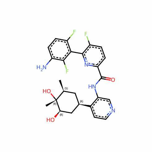 C[C@H]1C[C@@H](c2ccncc2NC(=O)c2ccc(F)c(-c3c(F)ccc(N)c3F)n2)C[C@@H](O)[C@]1(C)O